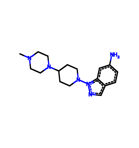 CN1CCN(C2CCN(n3ncc4ccc(N)cc43)CC2)CC1